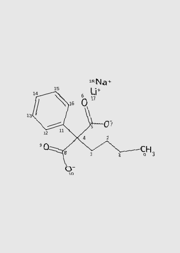 CCCCC(C(=O)[O-])(C(=O)[O-])c1ccccc1.[Li+].[Na+]